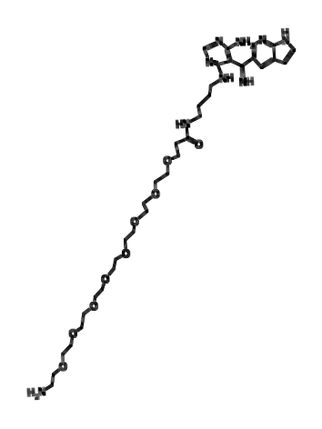 N=C(c1cnc2[nH]ccc2c1)c1c(N)ncnc1NCCCCNC(=O)CCOCCOCCOCCOCCOCCOCCOCCOCCN